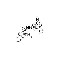 C[C@H](OC(=O)NCCSC(=O)O[C@@H](C)OC(=O)C1CCCCC1)OC(=O)C1CCCCC1